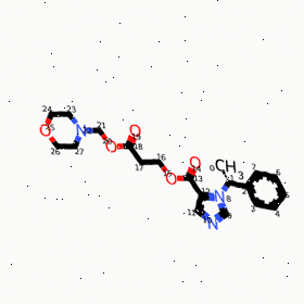 C[C@H](c1ccccc1)n1cncc1C(=O)OCCC(=O)OCN1CCOCC1